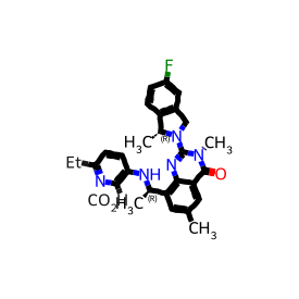 CCc1ccc(N[C@H](C)c2cc(C)cc3c(=O)n(C)c(N4Cc5cc(F)ccc5[C@H]4C)nc23)c(C(=O)O)n1